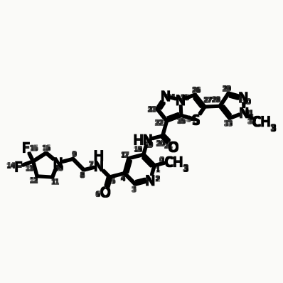 Cc1ncc(C(=O)NCCN2CCC(F)(F)C2)cc1NC(=O)c1cnn2cc(-c3cnn(C)c3)sc12